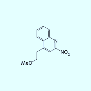 COCCc1cc([N+](=O)[O-])nc2ccccc12